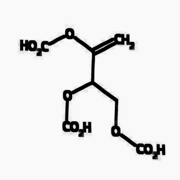 C=C(OC(=O)O)C(COC(=O)O)OC(=O)O